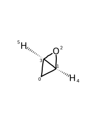 C1[C@@H]2O[C@H]12